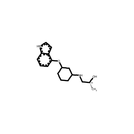 C[C@@H](O)CNC1CCCC(Oc2cccc3[nH]ccc23)C1